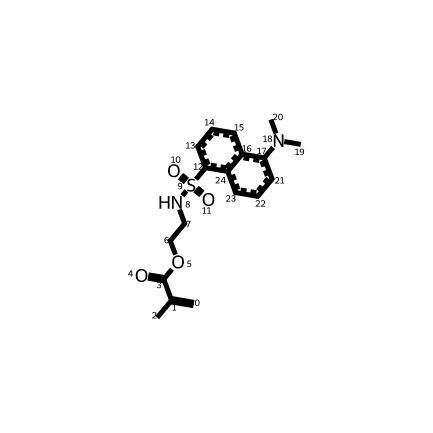 C=C(C)C(=O)OCCNS(=O)(=O)c1cccc2c(N(C)C)cccc12